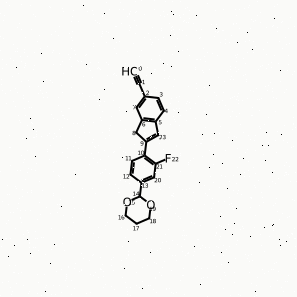 C#Cc1ccc2c(c1)CC(c1ccc(C3OCCCO3)cc1F)=C2